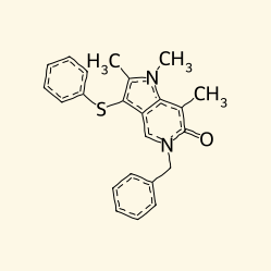 Cc1c(=O)n(Cc2ccccc2)cc2c(Sc3ccccc3)c(C)n(C)c12